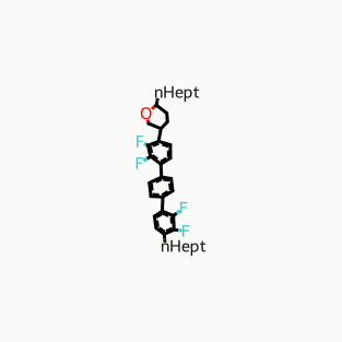 CCCCCCCc1ccc(-c2ccc(-c3ccc(C4CCC(CCCCCCC)OC4)c(F)c3F)cc2)c(F)c1F